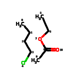 CCCCCl.CCOC(C)=O